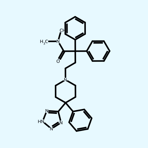 CN(C)C(=O)C(CCN1CCC(c2ccccc2)(c2nn[nH]n2)CC1)(c1ccccc1)c1ccccc1